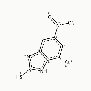 O=[N+]([O-])c1ccc2[nH]c(S)nc2c1.[Au+]